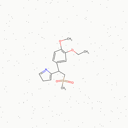 CCOc1cc(C(CS(C)(=O)=O)C2=CCC=N2)ccc1OC